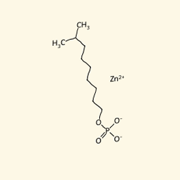 CC(C)CCCCCCCOP(=O)([O-])[O-].[Zn+2]